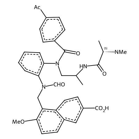 CN[C@@H](C)C(=O)NC(C)CN(C(=O)c1ccc(C(C)=O)cc1)c1ccccc1N(C=O)Cc1c(OC)ccc2cc(C(=O)O)ccc12